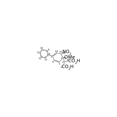 COC1(C(C(=O)O)C(=O)O)C=CC(c2ccccc2)=CC1[N+](=O)[O-]